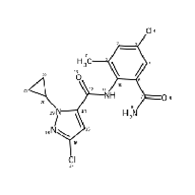 Cc1cc(Cl)cc(C(N)=O)c1NC(=O)c1cc(Cl)nn1C1CC1